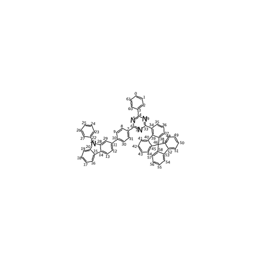 c1ccc(-c2nc(-c3ccc(-c4ccc5c6ccccc6n(-c6ccccc6)c5c4)cc3)nc(-c3cccc4c3-c3ccccc3C43c4ccccc4-c4ccccc43)n2)cc1